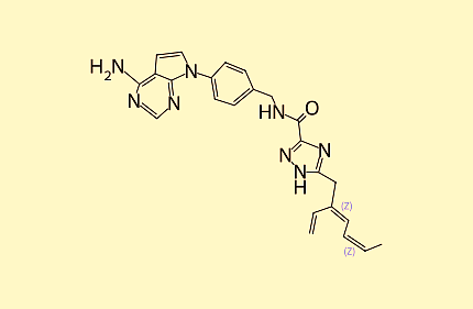 C=C/C(=C\C=C/C)Cc1nc(C(=O)NCc2ccc(-n3ccc4c(N)ncnc43)cc2)n[nH]1